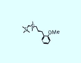 COc1ccccc1CCC[Si](C)(C)C[Si](C)(C)C